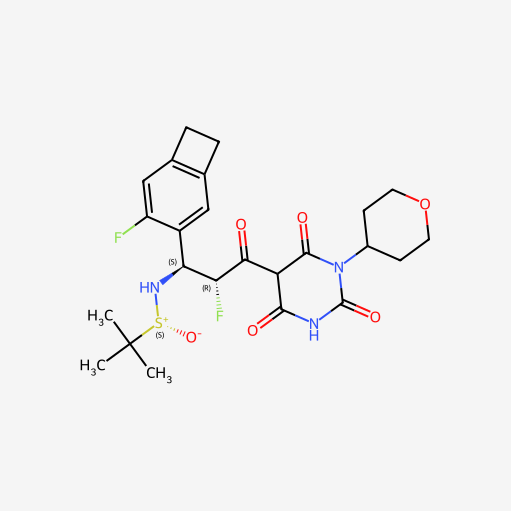 CC(C)(C)[S@@+]([O-])N[C@@H](c1cc2c(cc1F)CC2)[C@@H](F)C(=O)C1C(=O)NC(=O)N(C2CCOCC2)C1=O